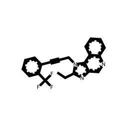 CCc1nc2cnc3ccccc3c2n1CC#Cc1ccccc1C(F)(F)F